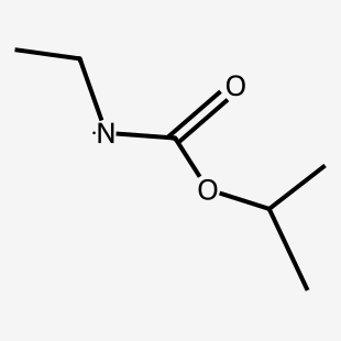 CC[N]C(=O)OC(C)C